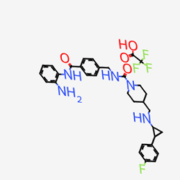 Nc1ccccc1NC(=O)c1ccc(CNC(=O)N2CCC(CNC3CC3c3ccc(F)cc3)CC2)cc1.O=C(O)C(F)(F)F